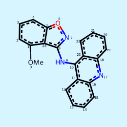 COc1cccc2onc(Nc3c4ccccc4nc4ccccc34)c12